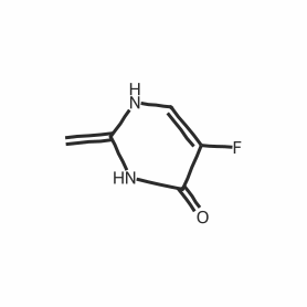 C=C1NC=C(F)C(=O)N1